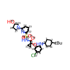 CC(C)(C)C1CCC(Nc2ccc(Cl)cc2OC2(C(=O)NS(=O)(=O)c3cccc(N4CCC(O)C4)n3)CC2)CC1